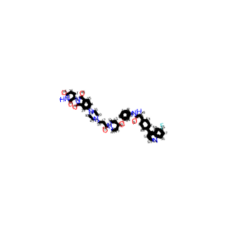 C[C@@H](C(=O)Nc1cccc(OC2CCN(C(=O)CCN3CCN(c4ccc5c(c4)C(=O)N(C4CCC(=O)NC4=O)C5=O)CC3)CC2)c1)C1CCC(c2ccnc3ccc(F)cc23)CC1